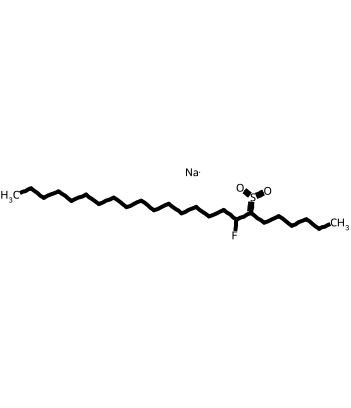 CCCCCCCCCCCCCCCCC(F)C(CCCCCC)=S(=O)=O.[Na]